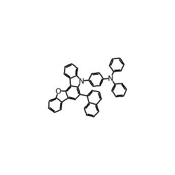 c1ccc(N(c2ccccc2)c2ccc(-n3c4ccccc4c4c5oc6ccccc6c5cc(-c5cccc6ccccc56)c43)cc2)cc1